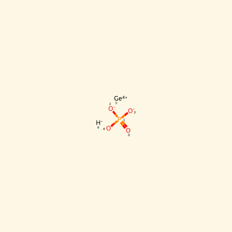 O=P([O-])([O-])[O-].[Ge+4].[H-]